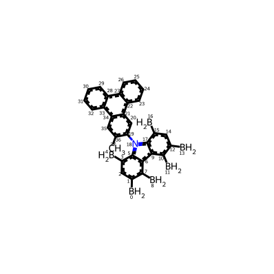 Bc1cc(B)c2c(c1B)c1c(B)c(B)cc(B)c1n2-c1cc2c3ccccc3c3ccccc3c2cc1C